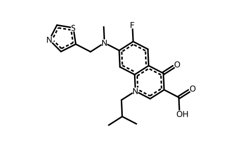 CC(C)Cn1cc(C(=O)O)c(=O)c2cc(F)c(N(C)Cc3cncs3)cc21